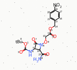 CC(C)(C)OC(=O)NC1C(=O)N(OCC(=O)OCc2ccc([N+](=O)[O-])cc2)C1C(N)=O